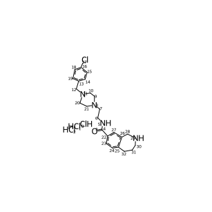 Cl.Cl.Cl.O=C(NCCN1CCN(Cc2ccc(Cl)cc2)CC1)c1ccc2c(c1)CNCCC2